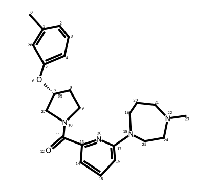 Cc1cccc(O[C@@H]2CCN(C(=O)c3cccc(N4CCCN(C)CC4)n3)C2)c1